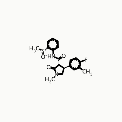 Cc1cc([C@H]2CN(C)C(=O)[C@@H]2C(=O)Nc2ccccc2[S+](C)[O-])ccc1F